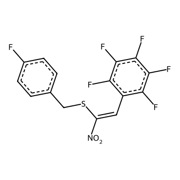 O=[N+]([O-])C(=Cc1c(F)c(F)c(F)c(F)c1F)SCc1ccc(F)cc1